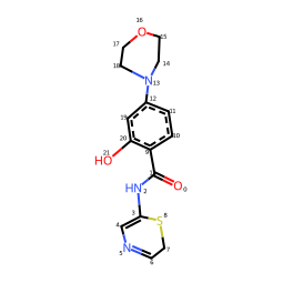 O=C(NC1=CN=CCS1)c1ccc(N2CCOCC2)cc1O